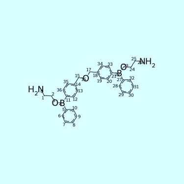 NCCOB(c1ccccc1)c1ccc(COCc2ccc(B(OCCN)c3ccccc3)cc2)cc1